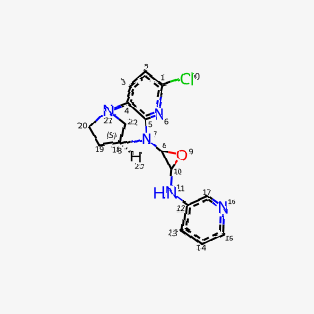 Clc1ccc2c(n1)N(C1OC1Nc1cccnc1)[C@H]1CCN2C1